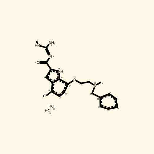 CNC(N)=NC(=O)c1cc2c(Cl)ccc(OCCN(C)Cc3ccccc3)c2[nH]1.Cl.Cl